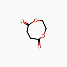 O=C1CCC(=O)OCCO1